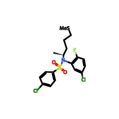 CSCCC[C@@H](C)N(c1cc(Cl)ccc1F)S(=O)(=O)c1ccc(Cl)cc1